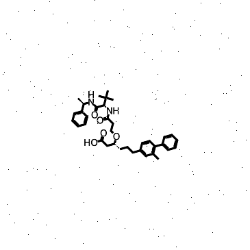 Cc1cc(CCC[C@H](CC(=O)O)OCCC(=O)N[C@H](C(=O)N[C@H](C)c2ccccc2)C(C)(C)C)ccc1-c1ccccc1